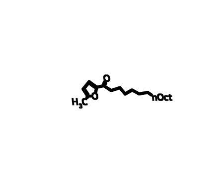 CCCCCCCCCCCCCCC(=O)c1ccc(C)o1